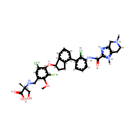 COc1c(CN[C@](C)(CO)C(=O)O)cc(Cl)c(OC2CCc3c(-c4cccc(NC(=O)c5nc6c(n5C)CCN(C)C6)c4Cl)cccc32)c1F